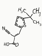 CC(C)(C)c1ccc(/C=C(\C#N)C(=O)O)s1